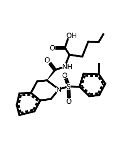 CCCCC(NC(=O)[C@@H]1Cc2ccccc2CN1S(=O)(=O)c1cccc(C)c1)C(=O)O